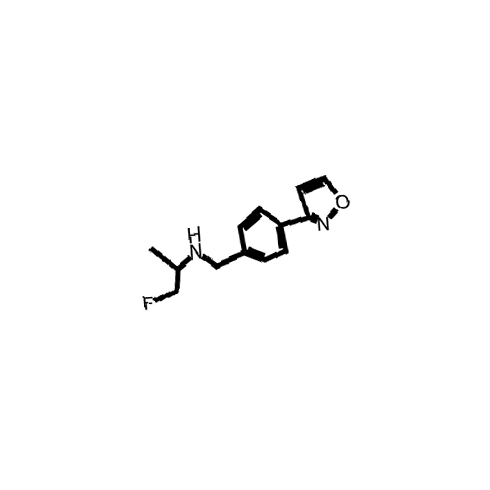 CC(CF)NCc1ccc(-c2ccon2)cc1